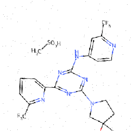 CS(=O)(=O)O.OC1(C(F)(F)F)CCN(c2nc(Nc3ccnc(C(F)(F)F)c3)nc(-c3cccc(C(F)(F)F)n3)n2)C1